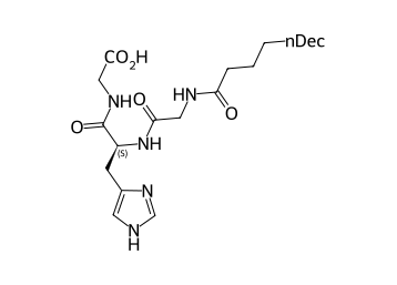 CCCCCCCCCCCCCC(=O)NCC(=O)N[C@@H](Cc1c[nH]cn1)C(=O)NCC(=O)O